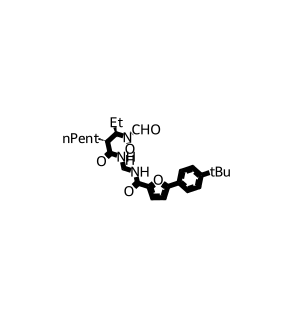 CCCCC[C@@H](C(=O)NCNC(=O)c1ccc(-c2ccc(C(C)(C)C)cc2)o1)[C@@H](CC)N(O)C=O